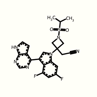 CC(C)S(=O)(=O)N1CC(CC#N)(n2cc(-c3ncnc4[nH]ccc34)c3c(F)cc(F)cc32)C1